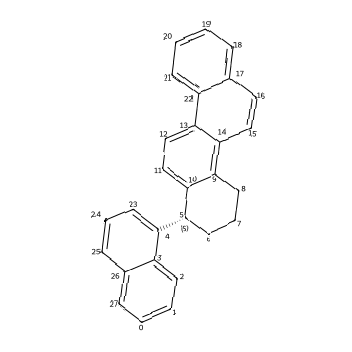 c1ccc2c([C@H]3CCCc4c3ccc3c4ccc4ccccc43)cccc2c1